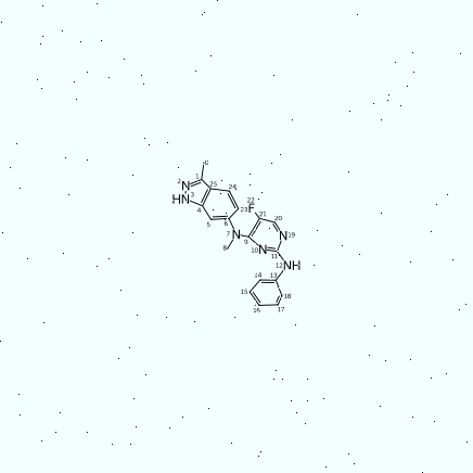 Cc1n[nH]c2cc(N(C)c3nc(Nc4cc[c]cc4)ncc3F)ccc12